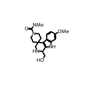 CNC(=O)N1CCC2(CC1)CNC(CO)c1[nH]c3cc(OC)ccc3c12